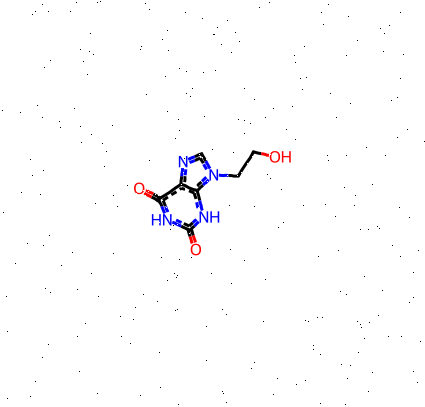 O=c1[nH]c(=O)c2ncn(CCO)c2[nH]1